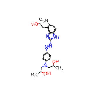 CC(O)CN(CC(C)O)c1ccc(N=Nc2nc3c(CCO)c([N+](=O)[O-])ccc3[nH]2)cc1